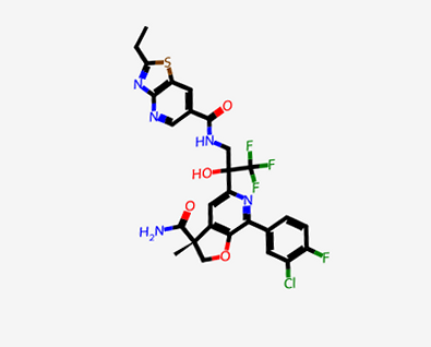 CCc1nc2ncc(C(=O)NCC(O)(c3cc4c(c(-c5ccc(F)c(Cl)c5)n3)OC[C@]4(C)C(N)=O)C(F)(F)F)cc2s1